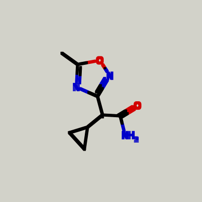 Cc1nc([C](C(N)=O)C2CC2)no1